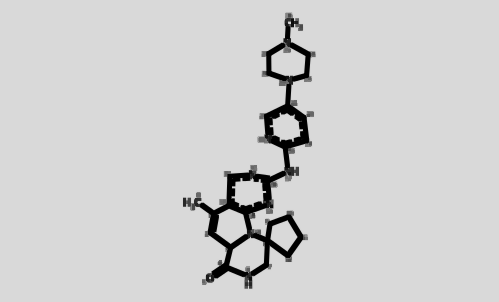 CC1=CC2C(=O)NCC3(CCCC3)N2c2nc(Nc3ccc(N4CCN(C)CC4)cn3)ncc21